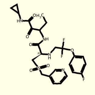 CCC(NC(=O)[C@H](CS(=O)(=O)Cc1cccnc1)NCC(F)(F)Oc1ccc(F)cc1)C(=O)C(=O)NC1CC1